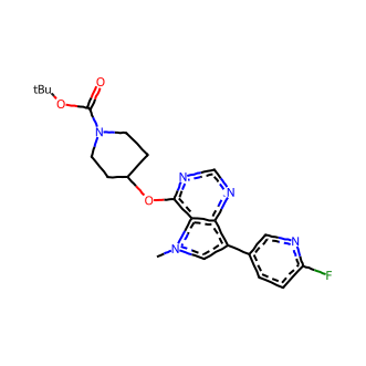 Cn1cc(-c2ccc(F)nc2)c2ncnc(OC3CCN(C(=O)OC(C)(C)C)CC3)c21